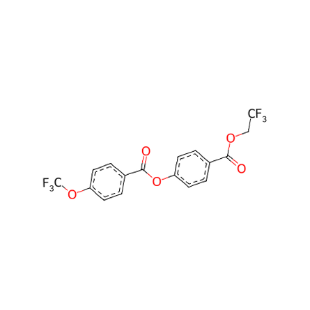 O=C(OCC(F)(F)F)c1ccc(OC(=O)c2ccc(OC(F)(F)F)cc2)cc1